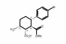 COC(=O)[C@H]1[C@H](C(=O)O)[C@H](C)CC[C@@H]1c1ccc(Br)cc1